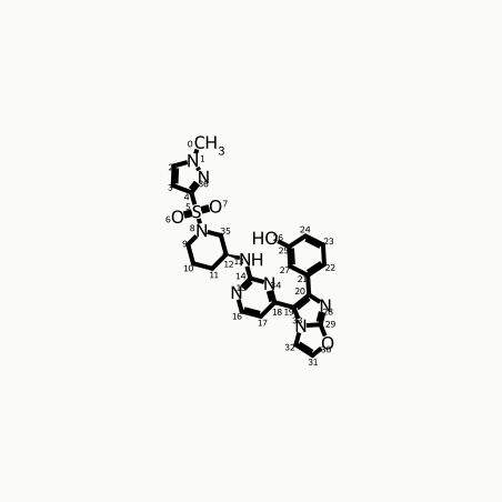 Cn1ccc(S(=O)(=O)N2CCC[C@H](Nc3nccc(-c4c(-c5cccc(O)c5)nc5occn45)n3)C2)n1